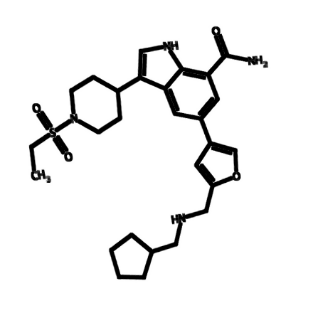 CCS(=O)(=O)N1CCC(c2c[nH]c3c(C(N)=O)cc(-c4coc(CNCC5CCCC5)c4)cc23)CC1